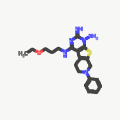 CCOCCCNc1nc(=N)n(N)c2sc3c(c12)CCN(c1ccccc1)C3